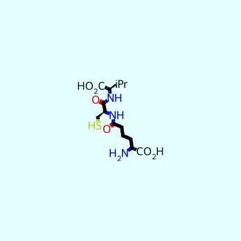 CC(C)[C@@H](NC(=O)[C@H](CS)NC(=O)CCCC(N)C(=O)O)C(=O)O